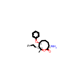 CC(C)CC[C@H]1[C@H](C)OC(=O)[C@@H](N)CCC[C@@H]1Oc1ccccc1